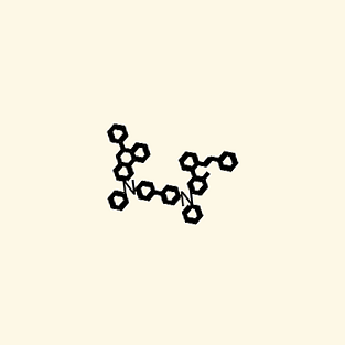 Cc1ccc(N(c2ccccc2)c2ccc(-c3ccc(N(c4ccccc4)c4ccc5c(c4)-c4ccccc4C(c4ccccc4)C5)cc3)cc2)cc1-c1ccccc1/C=C/c1ccccc1